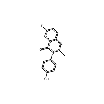 Cc1nc2ccc(F)cc2c(=O)n1-c1ccc(O)cc1